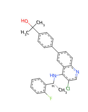 C[C@@H](Nc1c(Cl)cnc2ccc(-c3ccc(C(C)(C)O)cc3)cc12)c1ccccc1F